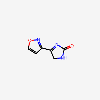 O=C1N=C(c2ccon2)CN1